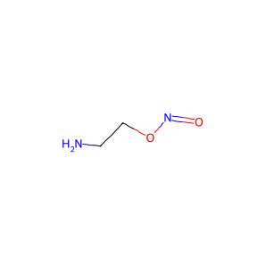 NCCON=O